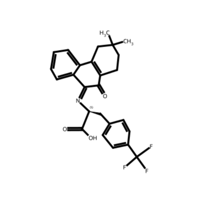 CC1(C)CCC2=C(C1)c1ccccc1C(=N[C@@H](Cc1ccc(C(F)(F)F)cc1)C(=O)O)C2=O